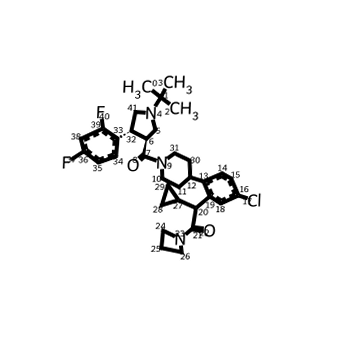 CC(C)(C)N1C[C@@H](C(=O)N2CCC(c3ccc(Cl)cc3C(C(=O)N3CCC3)C3CC3)CC2)[C@H](c2ccc(F)cc2F)C1